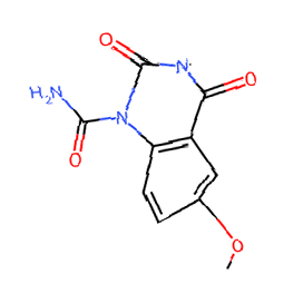 COc1ccc2c(c1)C(=O)[N]C(=O)N2C(N)=O